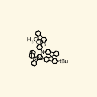 CC(C)(C)c1ccc2c(c1)C1(c3ccccc3-c3ccc(N(c4cccc(-c5cccc6c5C(C)(C)c5ccccc5-6)c4)c4ccc5c(c4)C4(c6ccccc6-5)C5CC6CC(C5)CC4C6)cc31)c1cc(C(C)(C)C)ccc1-2